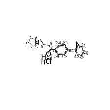 Cl.Cl.O=C(CCCN1CCCCC1)c1ccc(-c2ccccn2)cc1